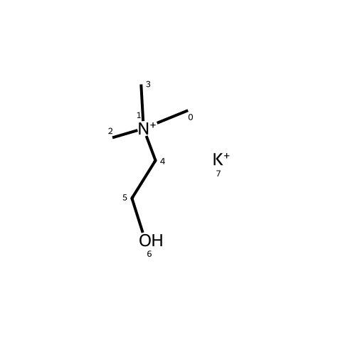 C[N+](C)(C)CCO.[K+]